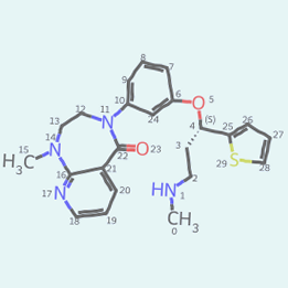 CNCC[C@H](Oc1cccc(N2CCN(C)c3ncccc3C2=O)c1)c1cccs1